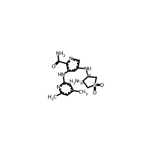 Cc1cc(C)nc(Nc2cc(N[C@H]3CS(=O)(=O)C[C@@H]3N)cnc2C(N)=O)c1